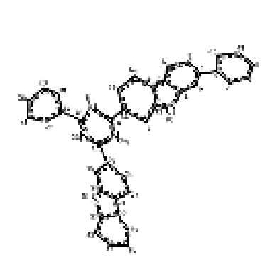 c1ccc(-c2ccc3c(c2)oc2cc(-c4nc(-c5ccccc5)nc(-c5ccc6c(c5)sc5ccccc56)n4)ccc23)cc1